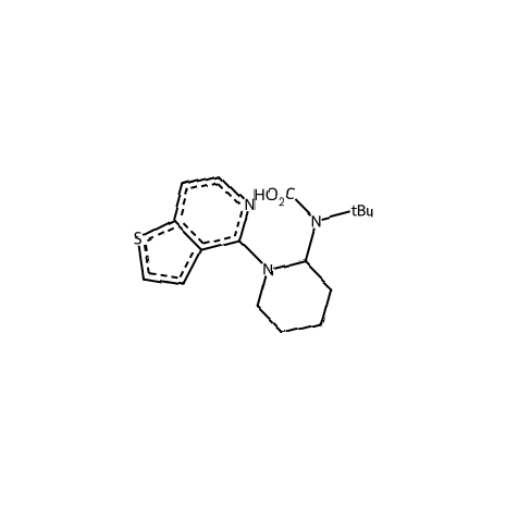 CC(C)(C)N(C(=O)O)C1CCCCN1c1nccc2sccc12